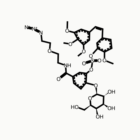 COc1ccc(/C=C\c2cc(OC)c(OC)c(OC)c2)cc1OS(=O)(=O)Oc1cc(C(=O)NCCOCCN=[N+]=[N-])ccc1O[C@@H]1O[C@H](CO)[C@H](O)[C@H](O)[C@H]1O